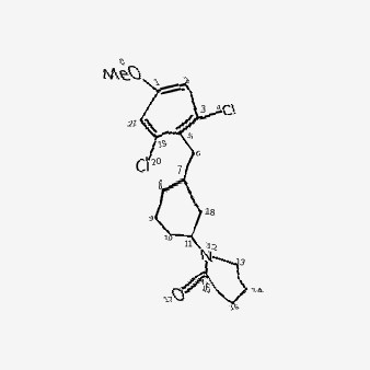 COc1cc(Cl)c(CC2CCCC(N3CCCC3=O)C2)c(Cl)c1